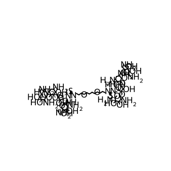 NCC1O[C@H](OC2C(N)C[C@@H](N)C(O)[C@H]2O[C@@H]2O[C@H](CNC(=S)NCCCOCCCCOCCCNC(=S)NC[C@H]3O[C@@H](OC4C(O[C@@H]5OC(CN)C(O)[C@H](O)C5N)C(N)C[C@H](N)[C@@H]4O)C(O)C3O[C@@H]3O[C@H](CN)C(O)C(O)C3N)[C@H](O[C@H]3O[C@@H](CN)C(O)C(O)C3N)C2O)C(N)[C@@H](O)C1O